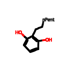 CCCCCCCc1c(O)cccc1O